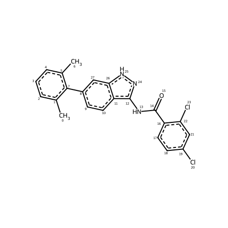 Cc1cccc(C)c1-c1ccc2c(NC(=O)c3ccc(Cl)cc3Cl)n[nH]c2c1